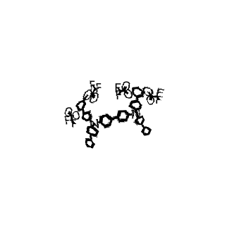 O=C(OC1C=C(c2ccc(N(c3ccc(-c4ccccc4)cc3)c3ccc(-c4ccc(N(c5ccc(C6=CC(OC(=O)C(F)F)CCC6OC(=O)C(F)F)cc5)c5ccc(-c6ccccc6)cc5)cc4)cc3)cc2)C(OC(=O)C(F)F)CC1)C(F)F